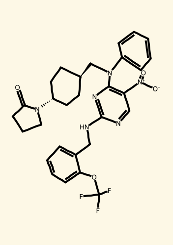 O=C1CCCN1[C@H]1CC[C@H](CN(c2ccccc2)c2nc(NCc3ccccc3OC(F)(F)F)ncc2[N+](=O)[O-])CC1